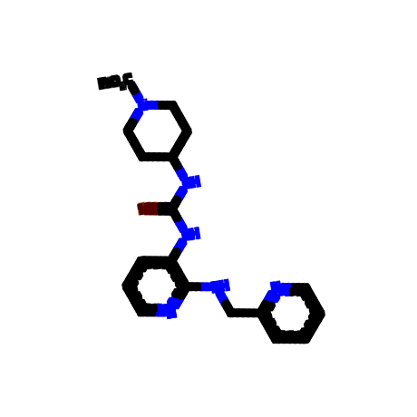 CCOC(=O)N1CCC(NC(=S)Nc2cccnc2NCc2ccccn2)CC1